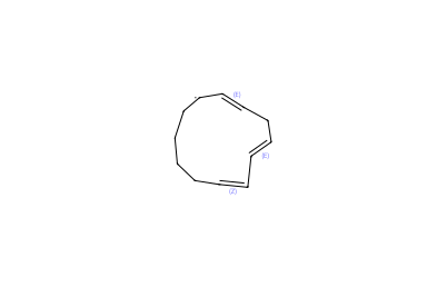 [CH]1/C=C/C/C=C/C=C\CCCC1